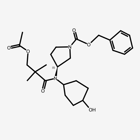 CC(=O)OCC(C)(C)C(=O)N(C1CCC(O)CC1)[C@H]1CCN(C(=O)OCc2ccccc2)C1